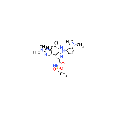 CCS(=O)(=O)NC(=O)c1cc(-c2cnc(N(C)C)nc2)c2c(C(C)C)nn(-c3cccc(N(C)C)c3)c2n1